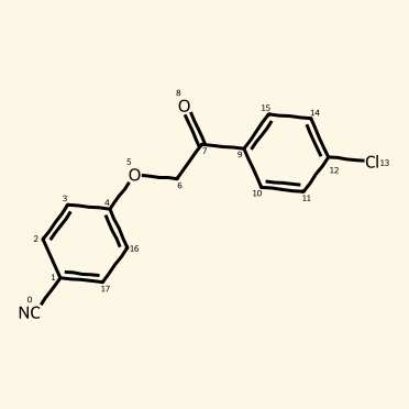 N#Cc1ccc(OCC(=O)c2ccc(Cl)cc2)cc1